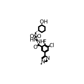 Cn1cnc(-c2cc(Cl)c(F)c(C(=O)NNS(=O)(=O)C[C@H]3CCC[C@@H](O)C3)c2)c1